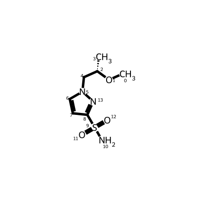 CO[C@@H](C)Cn1ccc(S(N)(=O)=O)n1